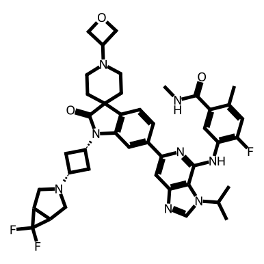 CNC(=O)c1cc(Nc2nc(-c3ccc4c(c3)N([C@H]3C[C@@H](N5CC6C(C5)C6(F)F)C3)C(=O)C43CCN(C4COC4)CC3)cc3ncn(C(C)C)c23)c(F)cc1C